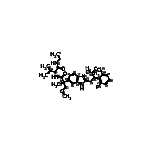 CCNC(=O)[C@H](NC(=O)C(C)(COC)c1ccc2nc(CC(c3c(F)cccc3Cl)C(C)C)[nH]c2c1)C(C)C